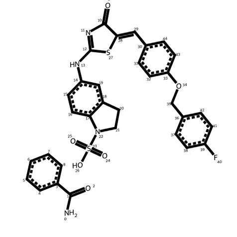 NC(=O)c1ccccc1.O=C1N=C(Nc2ccc3c(c2)CCN3S(=O)(=O)O)SC1=Cc1ccc(OCc2ccc(F)cc2)cc1